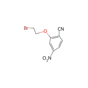 N#Cc1ccc([N+](=O)[O-])cc1OCCBr